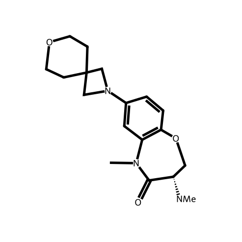 CN[C@H]1COc2ccc(N3CC4(CCOCC4)C3)cc2N(C)C1=O